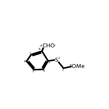 COCSc1ccccc1[C]=O